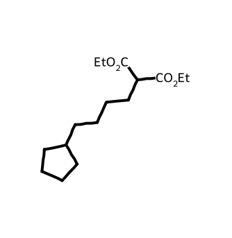 CCOC(=O)C(CCCCC1CCCC1)C(=O)OCC